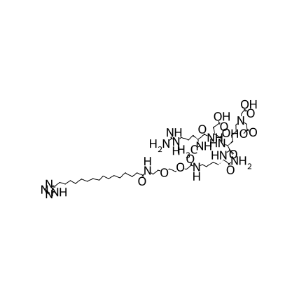 CN[C@@H](CCCNC(=N)N)C(=O)N[C@@H](CC(=O)O)C(=O)N[C@@H](CCCCN(CC(=O)O)CC(=O)O)C(=O)N[C@@H](CCCCNC(=O)COCCOCCNC(=O)CCCCCCCCCCCCCCCc1nnn[nH]1)C(N)=O